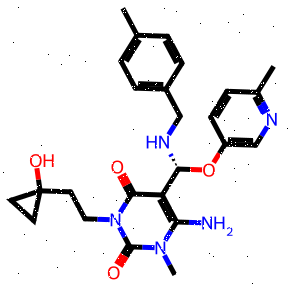 Cc1ccc(CN[C@H](Oc2ccc(C)nc2)c2c(N)n(C)c(=O)n(CCC3(O)CC3)c2=O)cc1